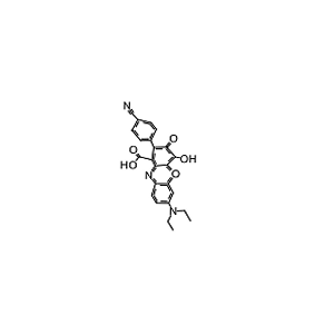 CCN(CC)c1ccc2nc3c(C(=O)O)c(-c4ccc(C#N)cc4)c(=O)c(O)c-3oc2c1